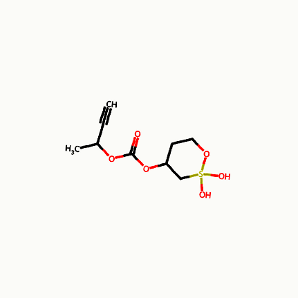 C#CC(C)OC(=O)OC1CCOS(O)(O)C1